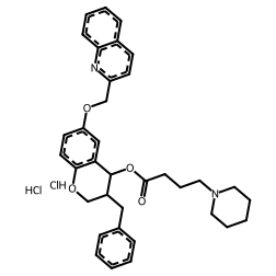 Cl.Cl.O=C(CCCN1CCCCC1)OC1c2cc(OCc3ccc4ccccc4n3)ccc2OCC1Cc1ccccc1